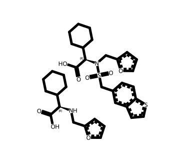 O=C(O)[C@@H](C1CCCCC1)N(Cc1ccco1)S(=O)(=O)Cc1ccc2sccc2c1.O=C(O)[C@H](NCc1ccco1)C1CCCCC1